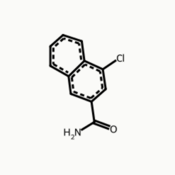 NC(=O)c1cc(Cl)c2ccccc2c1